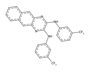 FC(F)(F)c1cccc(Nc2nc3cc4ccccc4cc3nc2Nc2cccc(C(F)(F)F)c2)c1